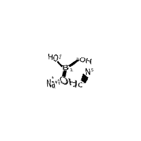 OB(O)O.[C-]#N.[Na+]